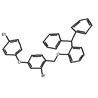 CCc1ccc(Oc2ccc(COc3ccccc3C(c3ccccc3)c3ccccc3)c(Br)c2)cc1